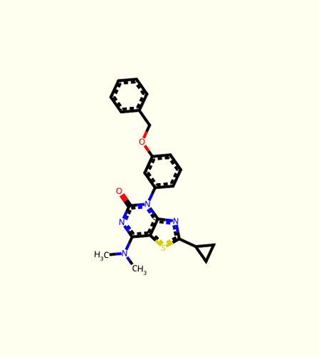 CN(C)c1nc(=O)n(-c2cccc(OCc3ccccc3)c2)c2nc(C3CC3)sc12